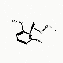 COC(=O)c1c(O)cccc1OC